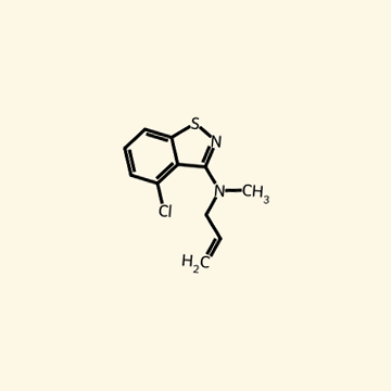 C=CCN(C)c1nsc2cccc(Cl)c12